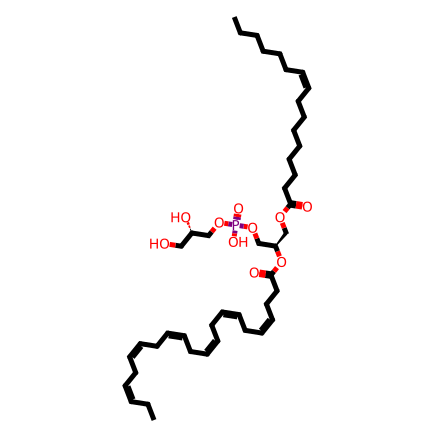 CC/C=C\C/C=C\C/C=C\C/C=C\C/C=C\C/C=C\CCC(=O)O[C@H](COC(=O)CCCCCCC/C=C\CCCCCC)COP(=O)(O)OC[C@@H](O)CO